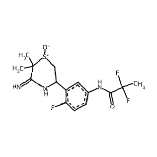 CC(F)(F)C(=O)Nc1ccc(F)c(C2C[S+]([O-])C(C)(C)C(=N)N2)c1